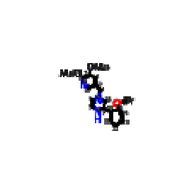 COc1cc(CN2CCNC(c3ccccc3OC(C)C)C2)cnc1OC